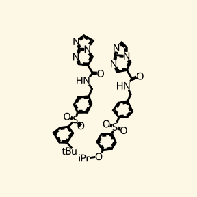 CC(C)(C)c1cccc(S(=O)(=O)c2ccc(CNC(=O)c3cnc4nccn4c3)cc2)c1.CC(C)Oc1ccc(S(=O)(=O)c2ccc(CNC(=O)c3cnc4nccn4c3)cc2)cc1